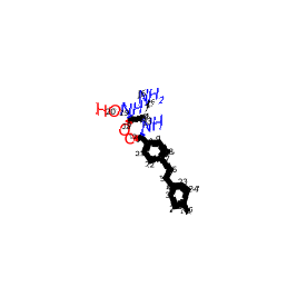 Cc1ccc(CCc2ccc(C(=O)N[C@@H](CN)C(=O)NO)cc2)cc1